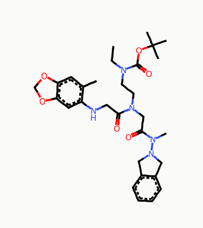 CCN(CCN(CC(=O)N(C)N1Cc2ccccc2C1)C(=O)CNc1cc2c(cc1C)OCO2)C(=O)OC(C)(C)C